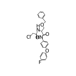 O=C(CCl)NC(COCc1ccccc1)C(=O)Nc1ccc(Oc2ccc(F)cc2)cc1